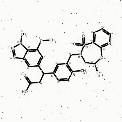 COc1cc(C(CC(=O)O)c2ccc(C)c(CN3C[C@H](C)Oc4ncccc4S3(=O)=O)c2)cc2nnn(C)c12